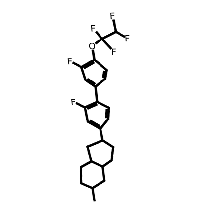 CC1CCC2CC(c3ccc(-c4ccc(OC(F)(F)C(F)F)c(F)c4)c(F)c3)CCC2C1